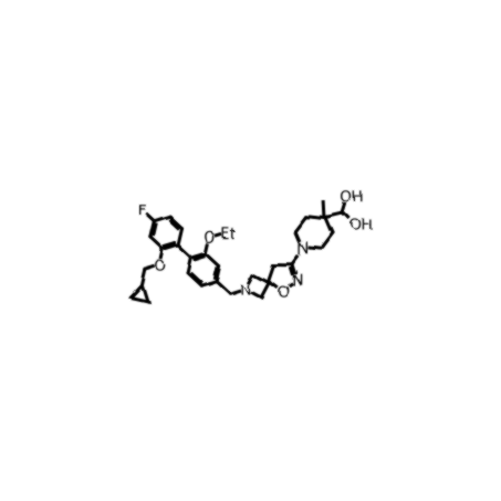 CCOc1cc(CN2CC3(CC(N4CCC(C)(C(O)O)CC4)=NO3)C2)ccc1-c1ccc(F)cc1OCC1CC1